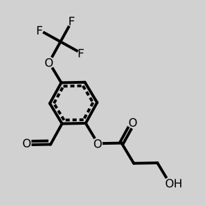 O=Cc1cc(OC(F)(F)F)ccc1OC(=O)CCO